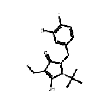 CCC1=C(O)[C@H](C(C)(C)C)N(Cc2ccc(F)c(Cl)c2)C1=O